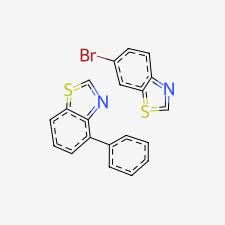 Brc1ccc2ncsc2c1.c1ccc(-c2cccc3scnc23)cc1